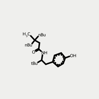 CCCCC(C)(CCCC)CC(=O)NC(Cc1ccc(O)cc1)C(C)(C)C